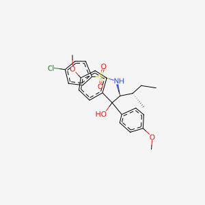 CC[C@H](C)[C@H](NS(=O)(=O)c1ccc(Cl)cc1)C(O)(c1ccc(OC)cc1)c1ccc(OC)cc1